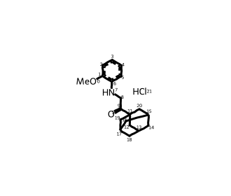 COc1ccccc1NCC(=O)C12CC3CC(CC(C3)C1)C2.Cl